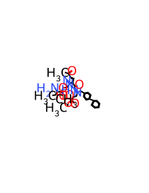 CCOC(=O)[C@H](O)CN(Cc1ccc(-c2ccccc2)cc1)NC(=O)c1cc(C(C)=O)nn1COC(=O)C(N)C(C)C